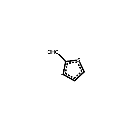 O=[C]c1[c]ccs1